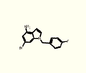 Nc1cc(Br)cc2c1ccn2Cc1ccc(F)cc1